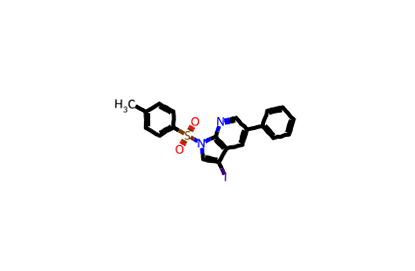 Cc1ccc(S(=O)(=O)n2cc(I)c3cc(-c4ccccc4)cnc32)cc1